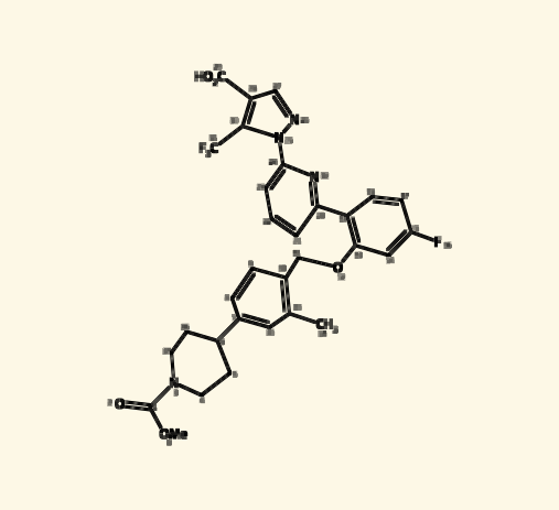 COC(=O)N1CCC(c2ccc(COc3cc(F)ccc3-c3cccc(-n4ncc(C(=O)O)c4C(F)(F)F)n3)c(C)c2)CC1